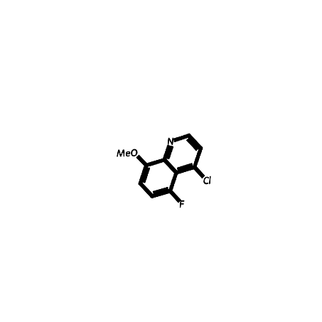 COc1ccc(F)c2c(Cl)ccnc12